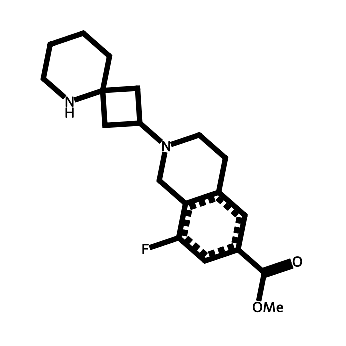 COC(=O)c1cc(F)c2c(c1)CCN(C1CC3(CCCCN3)C1)C2